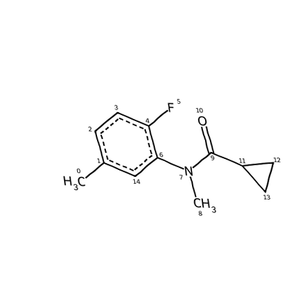 Cc1ccc(F)c(N(C)C(=O)C2CC2)c1